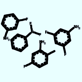 Cc1ccc(F)cc1N.FN(F)c1ccccc1.Nc1cc(F)cc(F)c1.Nc1cccc(F)c1